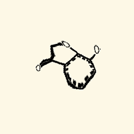 [O]c1cccc2c1OCC2=O